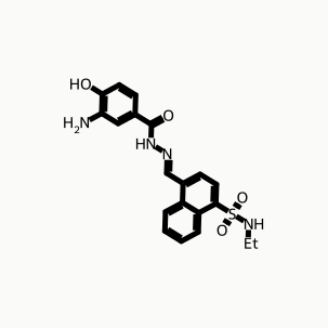 CCNS(=O)(=O)c1ccc(/C=N/NC(=O)c2ccc(O)c(N)c2)c2ccccc12